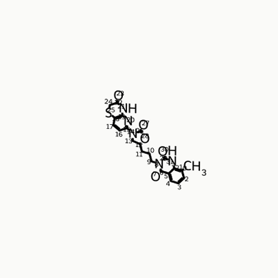 Cc1cccc2c(=O)n(CCCC3CN(c4ccc5c(n4)NC(=O)CS5)C(=O)O3)c(=O)[nH]c12